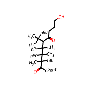 CCCCCC(=O)C(C)(C(C)(C)C)C(C)(CCC)C(C)(CCC)C(C(=O)CCCO)C(C)(C)CCCC